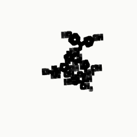 CCc1nnn([C@H]2C[C@@H](n3cnc4c(NCC(c5ccc(O)cc5)c5ccc(O)cc5)nc(N5CC[C@@H](NC(=O)NC(C)c6c[nH]cn6)C5)nc43)[C@H](O)[C@@H]2O)n1.Cl